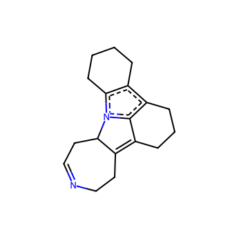 C1=NCCC2=C3CCCc4c5c(n(c43)C2C1)CCCC5